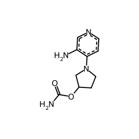 NC(=O)OC1CCN(c2ccncc2N)C1